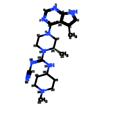 Cc1c[nH]c2ncnc(N3CCN(/C(=N/C#N)NC4CCN(C)CC4)[C@@H](C)C3)c12